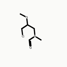 COC(CCl)CN(C)C=O